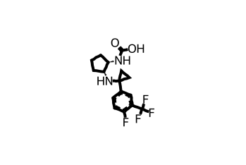 O=C(O)N[C@H]1CCC[C@H]1NC1(c2ccc(F)c(C(F)(F)F)c2)CC1